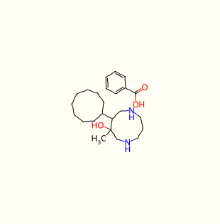 CC1(O)CNCCCNCC1C1CCCCCCCC1.O=C(O)c1ccccc1